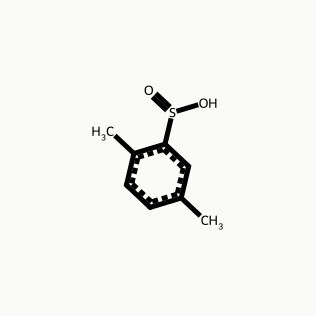 Cc1ccc(C)c(S(=O)O)c1